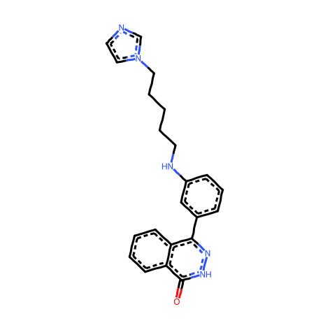 O=c1[nH]nc(-c2cccc(NCCCCCn3ccnc3)c2)c2ccccc12